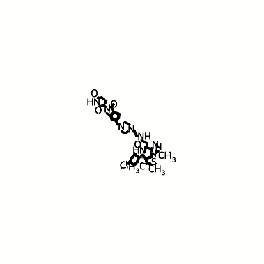 Cc1sc2c(c1C)[C@H](c1ccc(Cl)cc1)NC(CC(=O)NCCN1CCN(Cc3ccc4c(c3)CN(C3CCC(=O)NC3=O)C4=O)CC1)c1nnc(C)n1-2